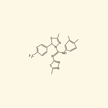 CC1=NN(/C(=N/c2nnc(C)s2)Nc2ccc(C)c(C)c2)C(c2ccc(C(F)(F)F)cc2)S1